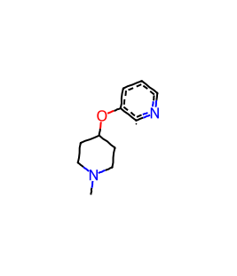 CN1CCC(Oc2[c]nccc2)CC1